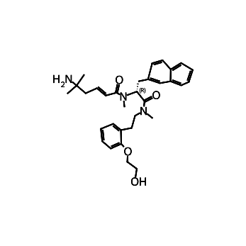 CN(CCc1ccccc1OCCO)C(=O)[C@@H](Cc1ccc2ccccc2c1)N(C)C(=O)C=CCC(C)(C)N